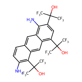 Nc1ccc2cc3c(N)c(C(O)(C(F)(F)F)C(F)(F)F)cc(C(O)(C(F)(F)F)C(F)(F)F)c3cc2c1C(O)(C(F)(F)F)C(F)(F)F